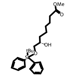 COC(=O)CCCCC[C@H](O)CO[Si](c1ccccc1)(c1ccccc1)C(C)(C)C